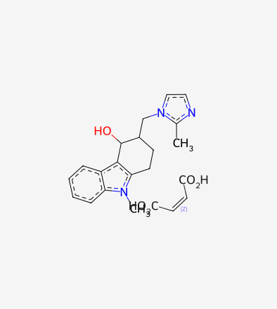 Cc1nccn1CC1CCc2c(c3ccccc3n2C)C1O.O=C(O)/C=C\C(=O)O